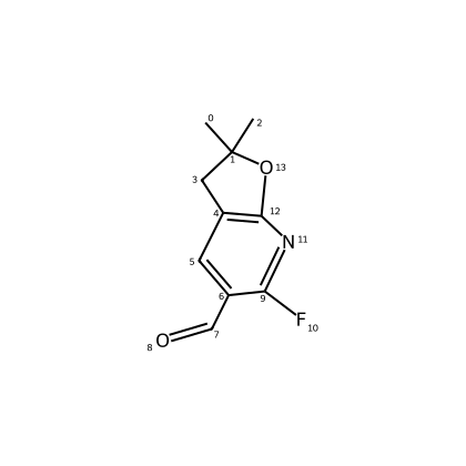 CC1(C)Cc2cc(C=O)c(F)nc2O1